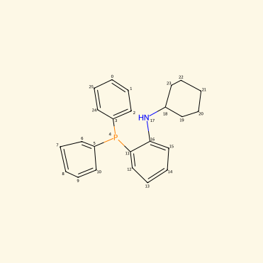 c1ccc(P(c2ccccc2)c2ccccc2NC2CCCCC2)cc1